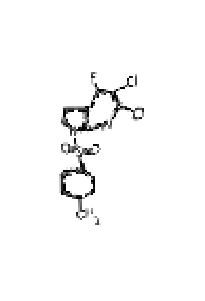 Cc1ccc(S(=O)(=O)n2ccc3c(F)c(Cl)c(Cl)nc32)cc1